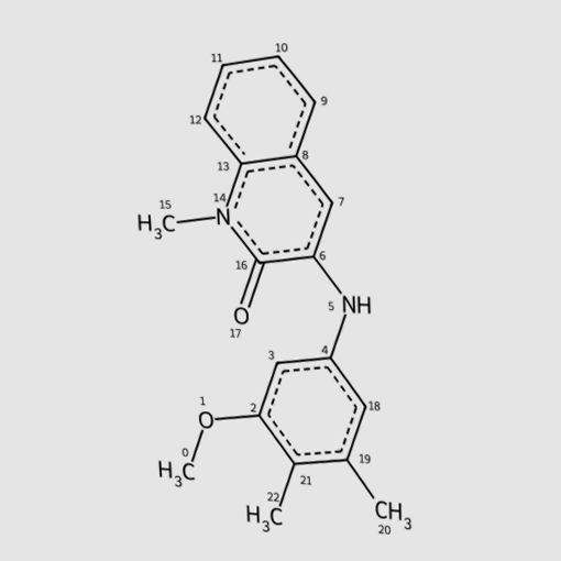 COc1cc(Nc2cc3ccccc3n(C)c2=O)cc(C)c1C